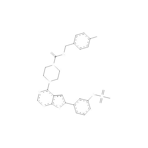 CS(=O)(=O)Nc1cccc(-c2cc3c(N4CCN(C(=O)NCc5ccc(F)cc5)CC4)ncnc3[nH]2)c1